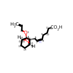 C=CCO[C@H]1[C@@H](C/C=C\CCCC(=O)O)[C@H]2CC[C@@H]1O2